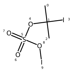 CC(C)(I)OS(=O)(=O)OI